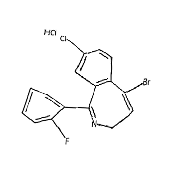 Cl.Fc1ccccc1C1=NCC=C(Br)c2ccc(Cl)cc21